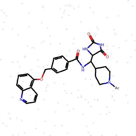 CC(=O)N1CCC(C(NC(=O)c2ccc(COc3cccc4ncccc34)cc2)C2NC(=O)NC2=O)CC1